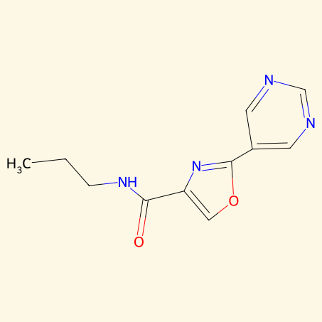 CCCNC(=O)c1coc(-c2cncnc2)n1